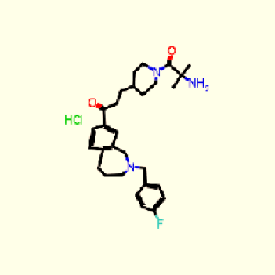 CC(C)(N)C(=O)N1CCC(CCC(=O)c2ccc3c(c2)CN(Cc2ccc(F)cc2)CCC3)CC1.Cl